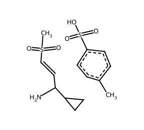 CS(=O)(=O)/C=C/C(N)C1CC1.Cc1ccc(S(=O)(=O)O)cc1